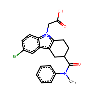 CN(C(=O)C1CCc2c(c3cc(Br)ccc3n2CC(=O)O)C1)c1ccccc1